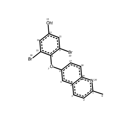 Cc1ccc2cc(Oc3c(Br)cc(O)cc3Br)ccc2n1